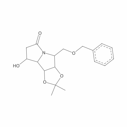 CC1(C)OC2C(O1)C1C(O)CC(=O)N1C2COCc1ccccc1